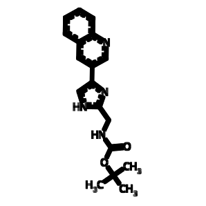 CC(C)(C)OC(=O)NCc1nc(-c2cnc3ccccc3c2)c[nH]1